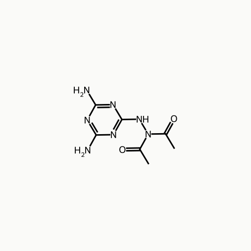 CC(=O)N(Nc1nc(N)nc(N)n1)C(C)=O